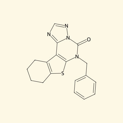 O=c1n(Cc2ccccc2)c2sc3c(c2c2ncnn12)CCCC3